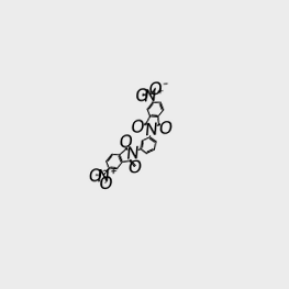 O=C1c2ccc([N+](=O)[O-])cc2C(=O)N1c1cccc(N2C(=O)c3ccc([N+](=O)[O-])cc3C2=O)c1